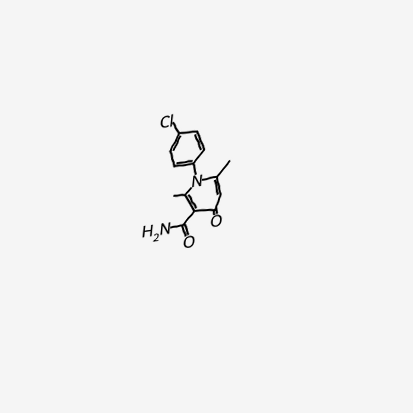 Cc1cc(=O)c(C(N)=O)c(C)n1-c1ccc(Cl)cc1